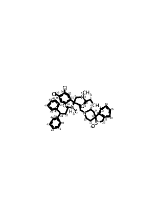 CCC(=O)N(C)CC(CCN1CCC2(CC1)c1ccccc1C[S+]2[O-])(c1ccc(Cl)c(Cl)c1)N(C)C(=O)CC(c1ccccc1)c1ccccc1